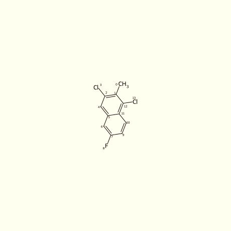 Cc1c(Cl)cc2cc(F)ccc2c1Cl